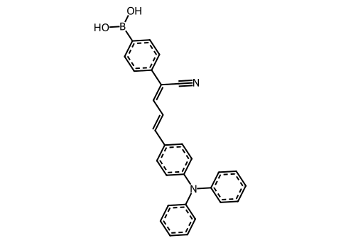 N#CC(=CC=Cc1ccc(N(c2ccccc2)c2ccccc2)cc1)c1ccc(B(O)O)cc1